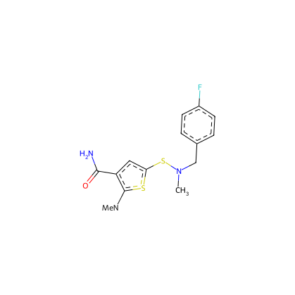 CNc1sc(SN(C)Cc2ccc(F)cc2)cc1C(N)=O